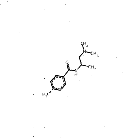 Cc1ccc(C(=O)NC(C)CN(C)C)cc1